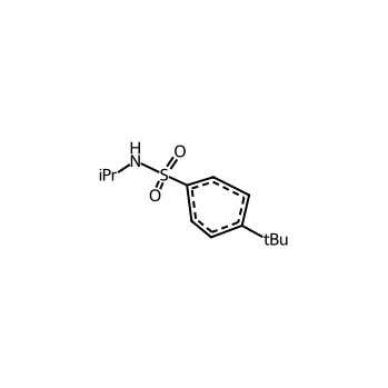 CC(C)NS(=O)(=O)c1ccc(C(C)(C)C)cc1